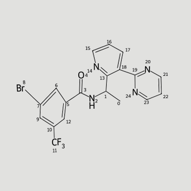 CC(NC(=O)c1cc(Br)cc(C(F)(F)F)c1)c1ncccc1-c1ncccn1